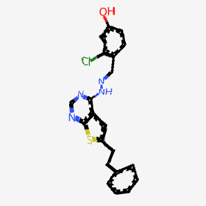 Oc1ccc(C=NNc2ncnc3sc(CCc4ccccc4)cc23)c(Cl)c1